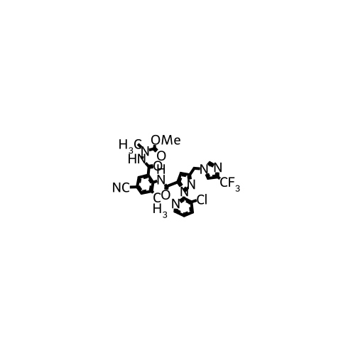 COC(=O)N(C)NC(=O)c1cc(C#N)cc(C)c1NC(=O)c1cc(Cn2cnc(C(F)(F)F)c2)nn1-c1ncccc1Cl